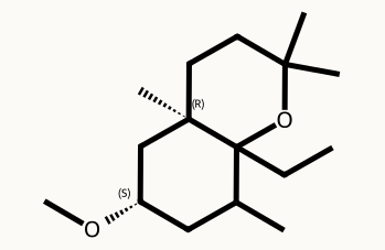 CCC12OC(C)(C)CC[C@]1(C)C[C@@H](OC)CC2C